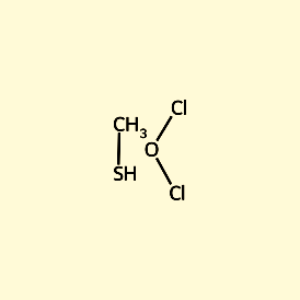 CS.ClOCl